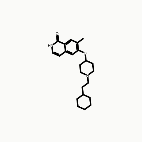 Cc1cc2c(=O)[nH]ccc2cc1OC1CCN(CCC2CCCCC2)CC1